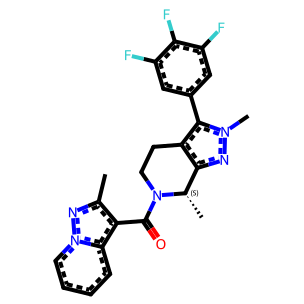 Cc1nn2ccccc2c1C(=O)N1CCc2c(nn(C)c2-c2cc(F)c(F)c(F)c2)[C@@H]1C